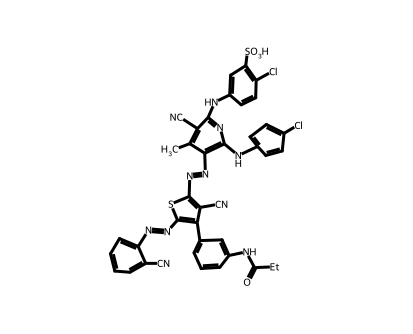 CCC(=O)Nc1cccc(-c2c(N=Nc3ccccc3C#N)sc(N=Nc3c(Nc4ccc(Cl)cc4)nc(Nc4ccc(Cl)c(S(=O)(=O)O)c4)c(C#N)c3C)c2C#N)c1